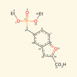 CCOP(=O)(Cc1ccc2oc(C(=O)O)cc2c1)OCC